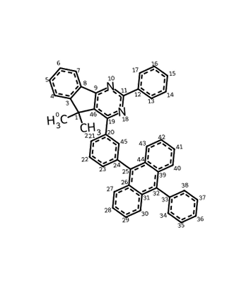 CC1(C)c2ccccc2-c2nc(-c3ccccc3)nc(-c3cccc(-c4c5ccccc5c(-c5ccccc5)c5ccccc45)c3)c21